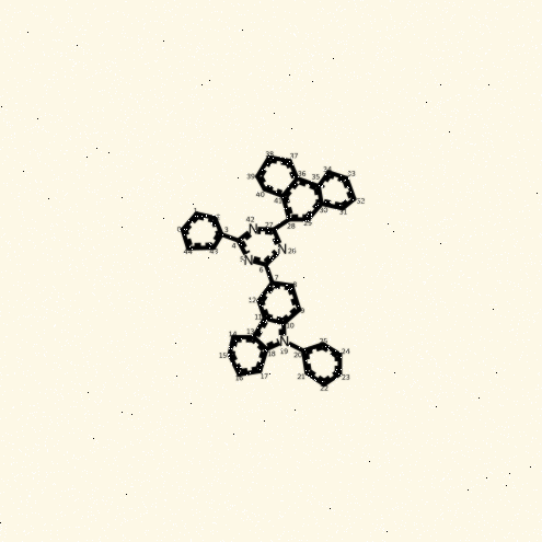 c1ccc(-c2nc(-c3ccc4c(c3)c3ccccc3n4-c3ccccc3)nc(-c3cc4ccccc4c4ccccc34)n2)cc1